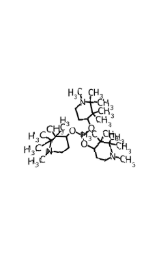 CN1CCC(OP(OC2CCN(C)C(C)(C)C2(C)C)OC2CCN(C)C(C)(C)C2(C)C)C(C)(C)C1(C)C